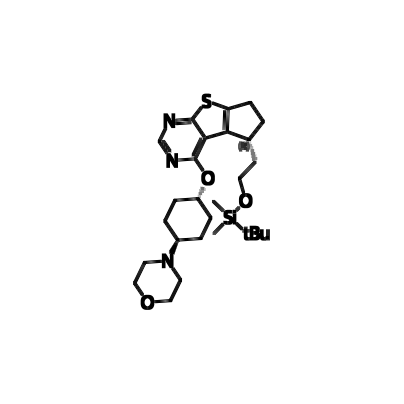 CC(C)(C)[Si](C)(C)OCC[C@H]1CCc2sc3ncnc(O[C@H]4CC[C@H](N5CCOCC5)CC4)c3c21